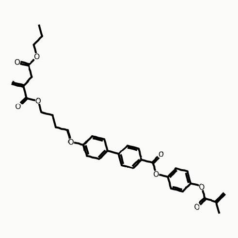 C=C(C)C(=O)Oc1ccc(OC(=O)c2ccc(-c3ccc(OCCCCOC(=O)C(=C)CC(=O)OCCC)cc3)cc2)cc1